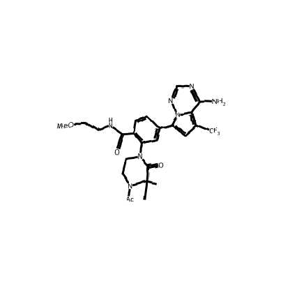 COCCNC(=O)c1ccc(-c2cc(C(F)(F)F)c3c(N)ncnn23)cc1N1CCN(C(C)=O)C(C)(C)C1=O